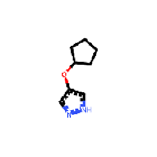 c1n[nH]cc1OC1CCCC1